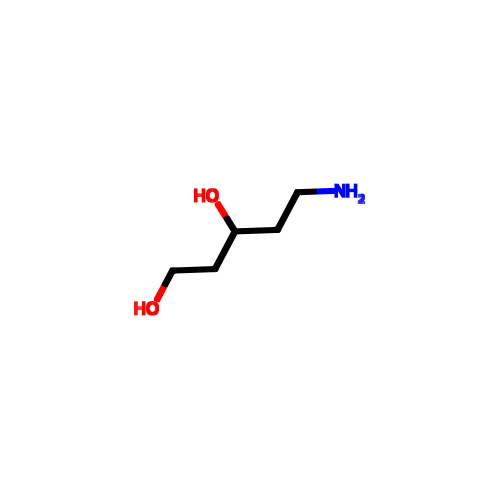 NCCC(O)CCO